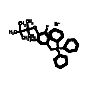 CC(C)(C)[Si](C)(C)Oc1c(F)cc(C[P+](c2ccccc2)(c2ccccc2)c2ccccc2)cc1F.[Br-]